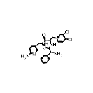 Nc1ccc(CNC(=O)C(Cc2ccc(Cl)c(Cl)c2)NC(=O)C(N)c2ccccc2)cn1